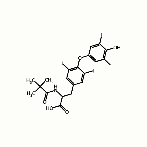 CC(C)(C)C(=O)NC(Cc1cc(I)c(Oc2cc(I)c(O)c(I)c2)c(I)c1)C(=O)O